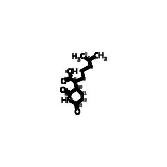 CC(C)CCCC(C(=O)O)C1CCC(=O)NC1=O